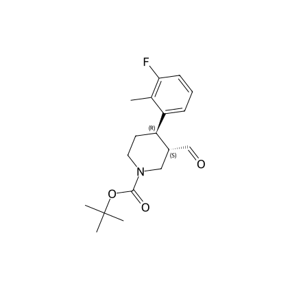 Cc1c(F)cccc1[C@@H]1CCN(C(=O)OC(C)(C)C)C[C@H]1C=O